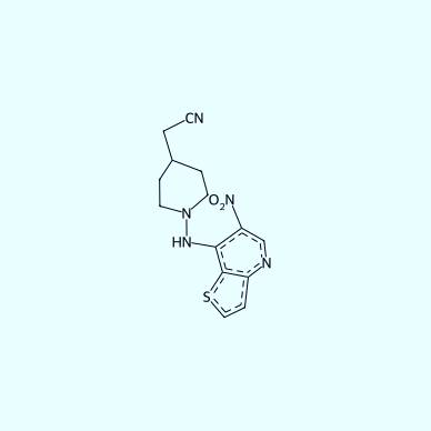 N#CCC1CCN(Nc2c([N+](=O)[O-])cnc3ccsc23)CC1